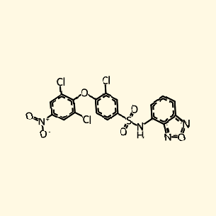 O=[N+]([O-])c1cc(Cl)c(Oc2ccc(S(=O)(=O)Nc3cccc4nonc34)cc2Cl)c(Cl)c1